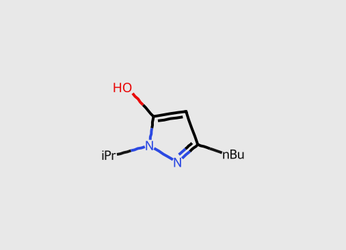 CCCCc1cc(O)n(C(C)C)n1